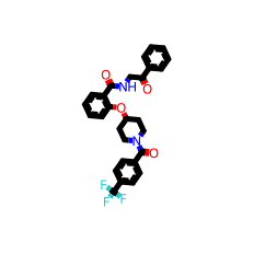 O=C(CNC(=O)c1ccccc1OC1CCN(C(=O)c2ccc(C(F)(F)F)cc2)CC1)c1ccccc1